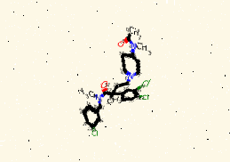 CC(=O)N(C)C1CCN(CCC(C)(C(=O)N(C)Cc2cccc(Cl)c2)c2ccc(Cl)c(Cl)c2)CC1